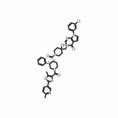 Cc1ccc(-c2nc(C)c(C(=O)N3CC[C@@H](C(=O)N4CCC(O)(Cn5cnc6c(ccn6-c6cccc(Cl)c6)c5=O)CC4)[C@H](c4ccccc4)C3)s2)cn1